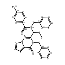 CCC(c1nn2cccc2c(=O)n1Cc1ccccc1)N(Cc1ccccc1)C(=O)c1ccc(Cl)cc1